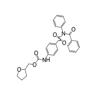 O=C(Nc1ccc(S(=O)(=O)N(C(=O)c2ccccc2)c2ccccc2)cc1)OCC1CCCO1